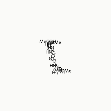 COC[C@H](NC(O)OC)C(=O)N1[C@@H](I)CC[C@H]1c1nc2ccc3cc4c(cc3c2[nH]1)OCc1cc(-c2cnc([C@@H]3CC[C@@H]5CC(C)[C@H](NC(=O)OC)C(=O)N53)[nH]2)ccc1-4